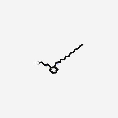 CCCCCCCCCC/C=C/c1ccccc1/C=C/CO